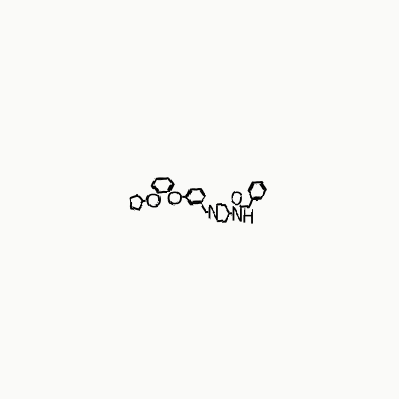 O=C(Cc1ccccc1)NC1CCN(Cc2cccc(Oc3ccccc3OC3CCCC3)c2)CC1